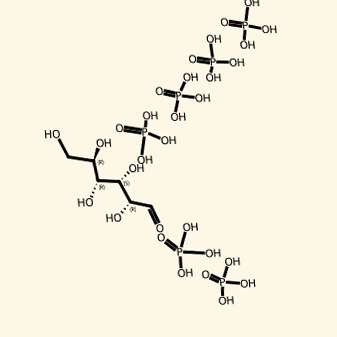 O=C[C@H](O)[C@@H](O)[C@H](O)[C@H](O)CO.O=P(O)(O)O.O=P(O)(O)O.O=P(O)(O)O.O=P(O)(O)O.O=P(O)(O)O.O=P(O)(O)O